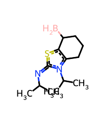 BC1CCCc2c1s/c(=N/C(C)C)n2C(C)C